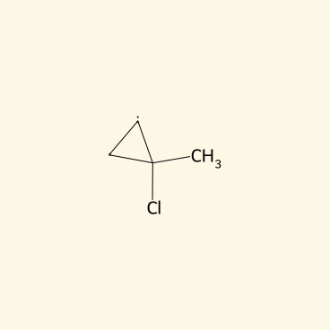 CC1(Cl)[CH]C1